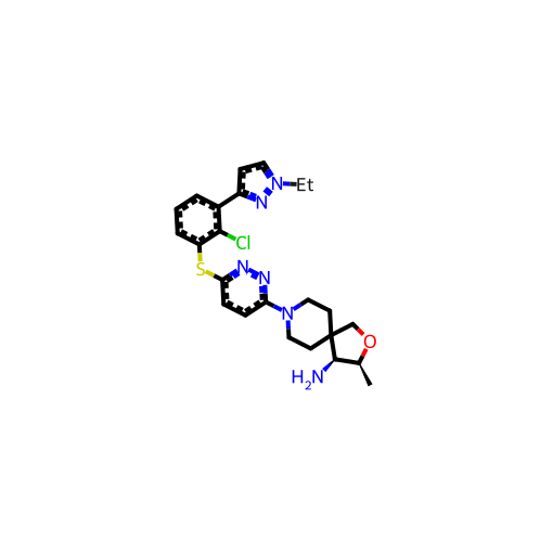 CCn1ccc(-c2cccc(Sc3ccc(N4CCC5(CC4)CO[C@@H](C)[C@H]5N)nn3)c2Cl)n1